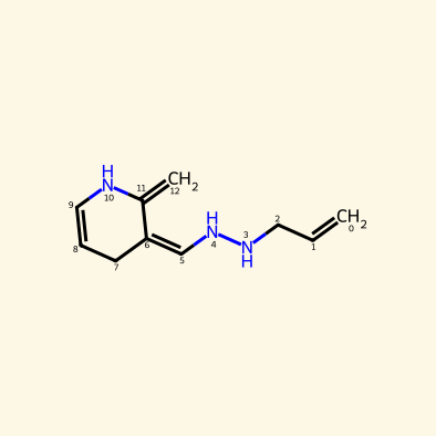 C=CCNN/C=C1/CC=CNC1=C